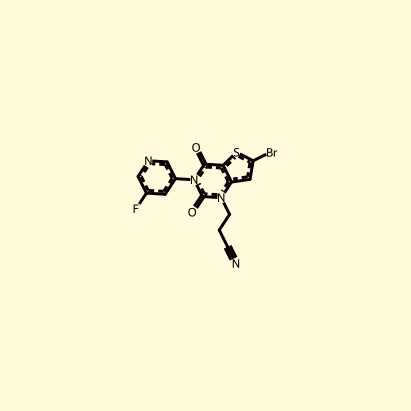 N#CCCn1c(=O)n(-c2cncc(F)c2)c(=O)c2sc(Br)cc21